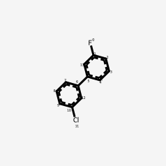 Fc1cc[c]c(-c2cccc(Cl)c2)c1